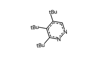 CC(C)(C)c1cnnc(C(C)(C)C)c1C(C)(C)C